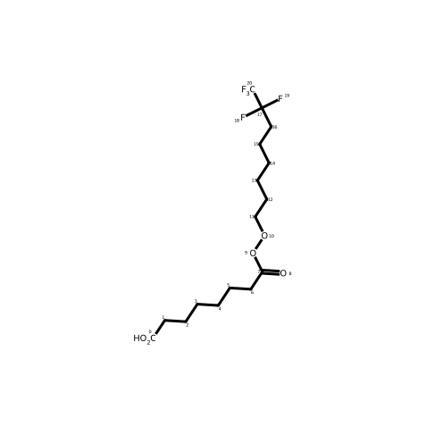 O=C(O)CCCCCCC(=O)OOCCCCCCC(F)(F)C(F)(F)F